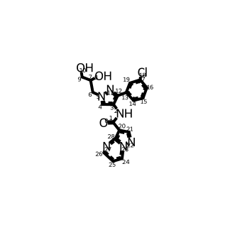 O=C(Nc1cn(CC(O)CO)nc1-c1cccc(Cl)c1)c1cnn2cccnc12